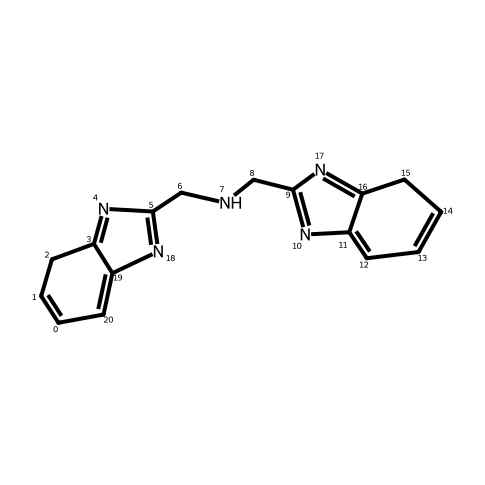 C1=CCC2=NC(CNCC3=NC4=CC=CCC4=N3)=NC2=C1